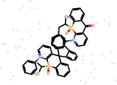 CC(C)P1(=O)c2ccccc2C2(c3ccccc3-c3cc(CC(C)P4(=O)c5ccccc5C(=O)c5ccc[n+](-c6ccccc6)c54)ccc32)c2ccc[n+](-c3ccccc3)c21